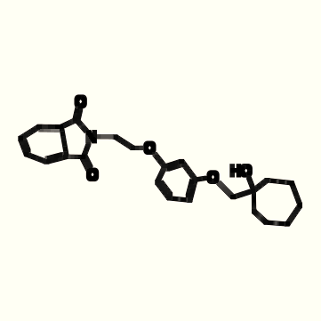 O=C1c2ccccc2C(=O)N1CCOc1cccc(OCC2(O)CCCCCC2)c1